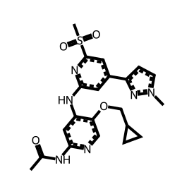 CC(=O)Nc1cc(Nc2cc(-c3ccn(C)n3)cc(S(C)(=O)=O)n2)c(OCC2CC2)cn1